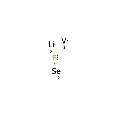 [Li].[P].[Se].[V]